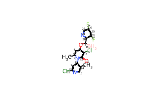 BC(Oc1cc(C)n(-c2cc(Cl)ncc2C)c(=O)c1Cl)c1ncc(F)cc1F